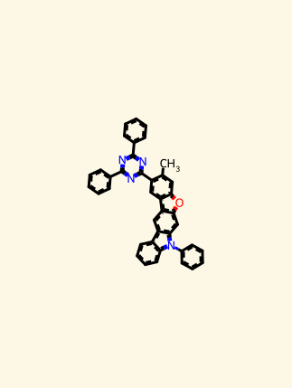 Cc1cc2oc3cc4c(cc3c2cc1-c1nc(-c2ccccc2)nc(-c2ccccc2)n1)c1ccccc1n4-c1ccccc1